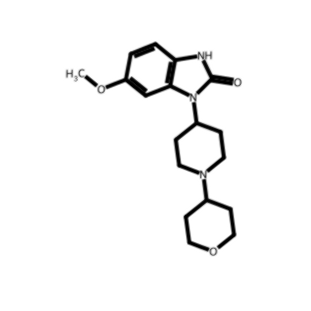 COc1ccc2[nH]c(=O)n(C3CCN(C4CCOCC4)CC3)c2c1